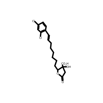 O=C1CC(O)(C(=O)O)C(CCCCCCC=Cc2ccc(Cl)cc2Cl)O1